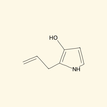 C=CCc1[nH]ccc1O